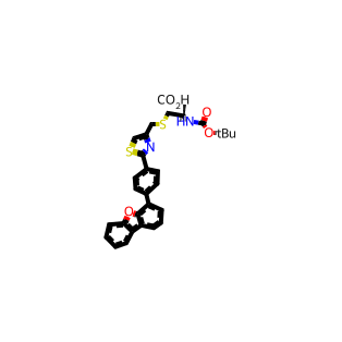 CC(C)(C)OC(=O)N[C@@H](CSCc1csc(-c2ccc(-c3cccc4c3oc3ccccc34)cc2)n1)C(=O)O